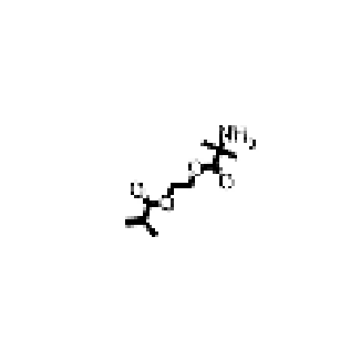 C=C(C)C(=O)OCCOC(=O)C(C)(C)N